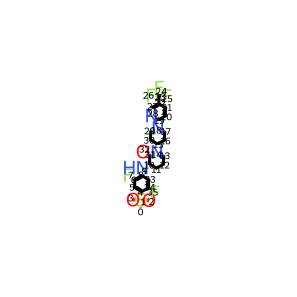 CS(=O)(=O)c1cc(F)c(N[C@H]2CCCN(C3CCN(c4ccc(C(F)(F)F)cn4)CC3)C2=O)cc1F